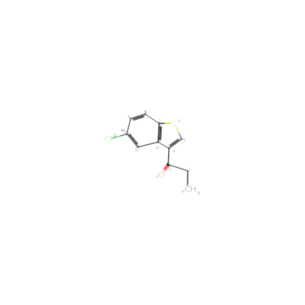 CCC(=O)c1csc2ccc(Cl)cc12